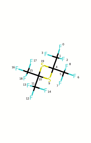 FC(F)(F)C1(C(F)(F)F)SC(C(F)(F)F)(C(F)(F)F)S1